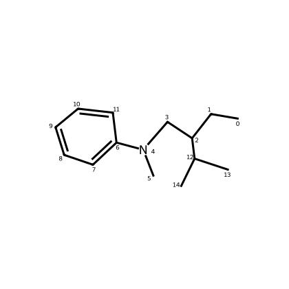 CCC(CN(C)c1ccccc1)C(C)C